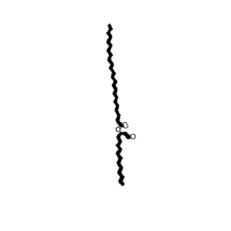 CCCCCCCCCCCCCCCCCCCCCCCC(=O)OC(C[C]=O)CCCCCCCCCCCC